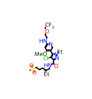 CC[C@H](CCCS(C)(=O)=O)CNC(=O)c1nn(CC)c(-c2cnc(NCCOCC(F)(F)F)cc2OC)c1Cl